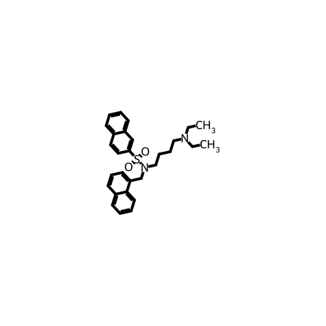 CCN(CC)CCCCN(Cc1cccc2ccccc12)S(=O)(=O)c1ccc2ccccc2c1